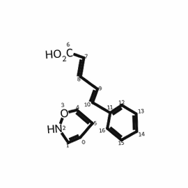 C1=CNOC=C1.O=C(O)C=CC=Cc1ccccc1